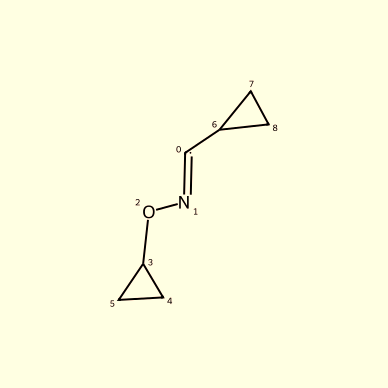 [C](=N\OC1CC1)/C1CC1